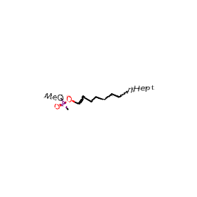 CCCCCCCCCCCCC=COP(C)(=O)OC